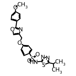 COc1ccc(-c2nc(COc3ccc(S(=O)(=O)Nc4nnc(C(C)C)s4)cc3)co2)cc1